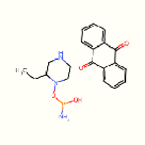 CCC1CNCCN1OP(N)O.O=C1c2ccccc2C(=O)c2ccccc21